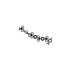 C=C(C)C(=O)OCCOCCOC(=O)Oc1ccc(OC(=O)c2ccc(C(=O)OC3CC(C)CCC3C(C)C)cc2)cc1